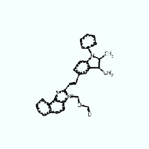 CC1c2cc(/C=C/c3sc4c5ccccc5ccc4[n+]3COC=O)ccc2N(c2ccccc2)C1C